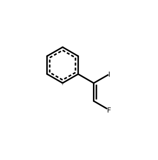 FC=C(I)c1[c]cccc1